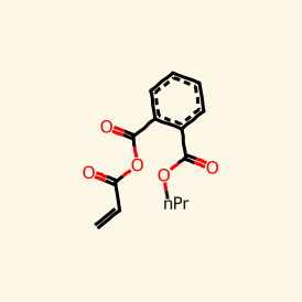 C=CC(=O)OC(=O)c1ccccc1C(=O)OCCC